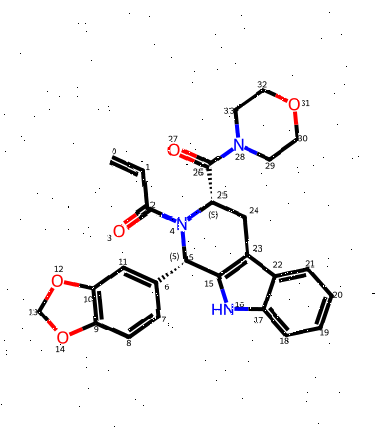 C=CC(=O)N1[C@@H](c2ccc3c(c2)OCO3)c2[nH]c3ccccc3c2C[C@H]1C(=O)N1CCOCC1